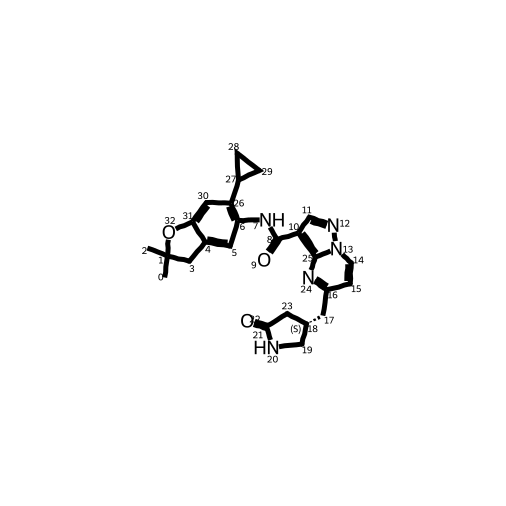 CC1(C)Cc2cc(NC(=O)c3cnn4ccc(C[C@@H]5CNC(=O)C5)nc34)c(C3CC3)cc2O1